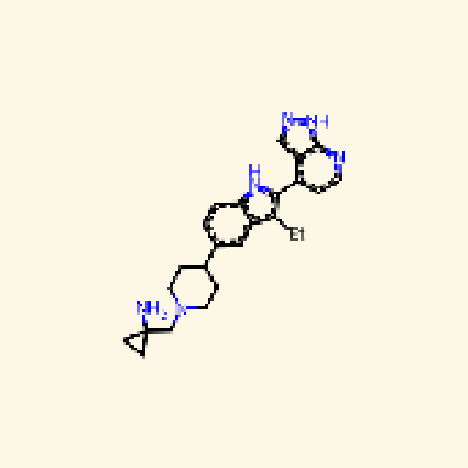 CCc1c(-c2ccnc3[nH]ncc23)[nH]c2ccc(C3CCN(CC4(N)CC4)CC3)cc12